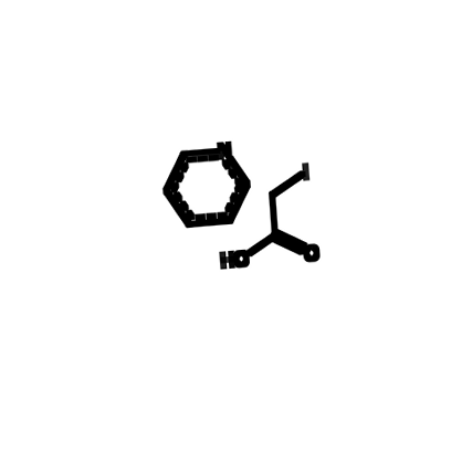 O=C(O)CI.c1ccncc1